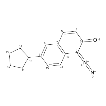 [N-]=[N+]=C1C(=O)C=Cc2cc(C3CCCC3)ccc21